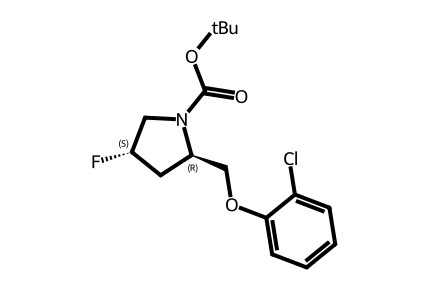 CC(C)(C)OC(=O)N1C[C@@H](F)C[C@@H]1COc1ccccc1Cl